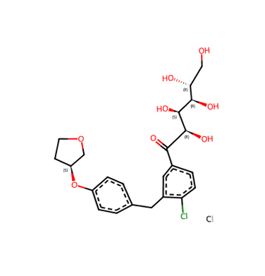 O=C(c1ccc(Cl)c(Cc2ccc(O[C@H]3CCOC3)cc2)c1)[C@H](O)[C@@H](O)[C@H](O)[C@H](O)CO.[C]